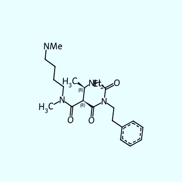 CCC(=O)N(CCc1ccccc1)C(=O)[C@@H](C(=O)N(C)CCCCNC)[C@@H](C)N